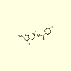 CN(C)[C@H](CNC(=O)c1ccc(Cl)cc1)Cc1ccc(O)cc1Cl